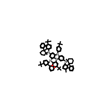 Cc1ccc2c(c1)C1(c3ccccc3)CCCCC1(C)N2c1ccc2c(c1)B1c3cc(C(C)(C)C)ccc3N(c3ccc(C(C)(C)C)cc3-c3ccccc3)c3cc(N4c5ccc(C(C)(C)C)cc5C5(c6ccccc6)CCCCC45C)cc(c31)N2c1ccc(C(C)(C)C)cc1